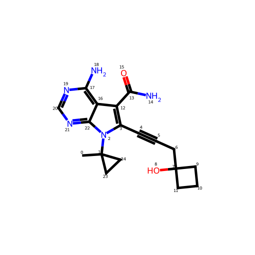 CC1(n2c(C#CCC3(O)CCC3)c(C(N)=O)c3c(N)ncnc32)CC1